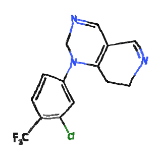 FC(F)(F)c1ccc(N2CN=CC3=C2CCN=C3)cc1Cl